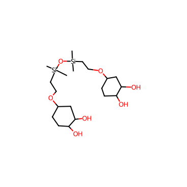 C[Si](C)(CCOC1CCC(O)C(O)C1)O[Si](C)(C)CCOC1CCC(O)C(O)C1